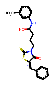 O=C(O)c1cccc(NC(O)CCCN2C(=O)/C(=C\c3ccccc3)SC2=S)c1